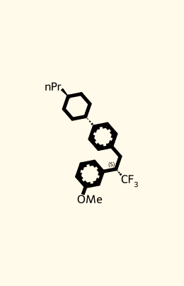 CCC[C@H]1CC[C@H](c2ccc(C[C@@H](c3cccc(OC)c3)C(F)(F)F)cc2)CC1